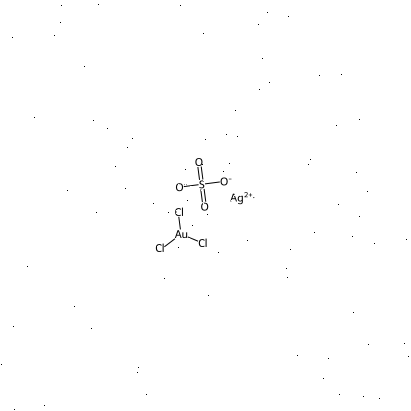 O=S(=O)([O-])[O-].[Ag+2].[Cl][Au]([Cl])[Cl]